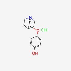 Cl.Oc1ccc(OC2CN3CCC2CC3)cc1